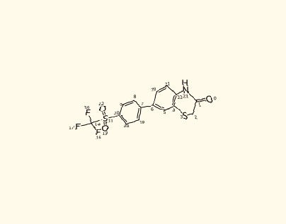 O=C1CSc2cc(-c3ccc(S(=O)(=O)C(F)(F)F)cc3)ccc2N1